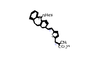 CCCCCCN1c2ccccc2CCc2cc(/C=C/c3ccc(/C=C(\C#N)C(=O)O)s3)ccc21